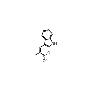 CC(=Cc1c[nH]c2ncccc12)[N+](=O)[O-]